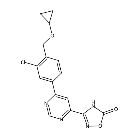 O=c1[nH]c(-c2cc(-c3ccc(COC4CC4)c(Cl)c3)ncn2)no1